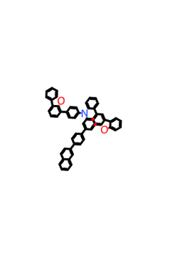 c1cc(-c2ccc(-c3ccc4ccccc4c3)cc2)cc(N(c2ccc(-c3cccc4c3oc3ccccc34)cc2)c2ccccc2-c2ccc3oc4ccccc4c3c2)c1